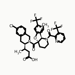 CCC[C@H]1N(C(=O)c2ncccc2C(F)(F)F)CCC[C@@]1(Oc1csc(C(F)(F)F)c1)C(=O)N1Cc2ccc(Cl)cc2C[C@@H]1C(C)CC(=O)O